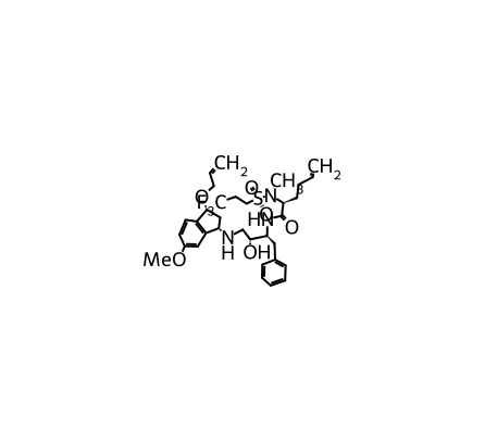 C=CCC[C@@H](C(=O)N[C@@H](Cc1ccccc1)[C@H](O)CN[C@H]1C[C@@H](OCC=C)c2ccc(OC)cc21)N(C)S(=O)(=O)CCC(F)(F)F